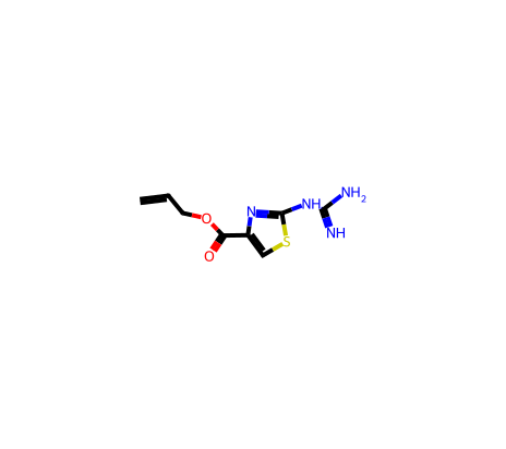 C=CCOC(=O)c1csc(NC(=N)N)n1